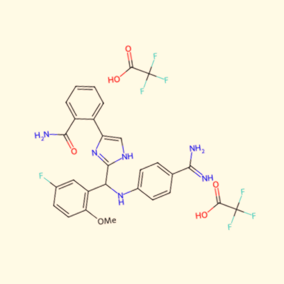 COc1ccc(F)cc1C(Nc1ccc(C(=N)N)cc1)c1nc(-c2ccccc2C(N)=O)c[nH]1.O=C(O)C(F)(F)F.O=C(O)C(F)(F)F